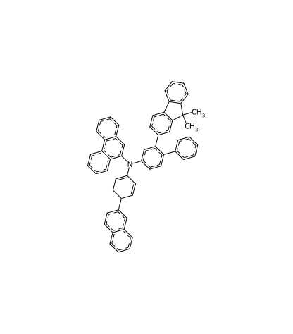 CC1(C)c2ccccc2-c2ccc(-c3cc(N(C4=CCC(c5ccc6ccccc6c5)C=C4)c4cc5ccccc5c5ccccc45)ccc3-c3ccccc3)cc21